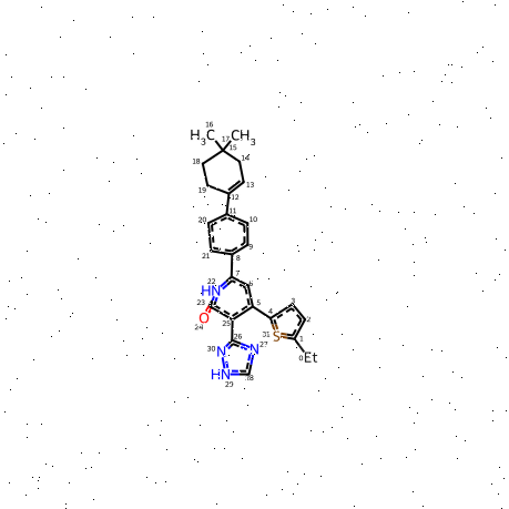 CCc1ccc(-c2cc(-c3ccc(C4=CCC(C)(C)CC4)cc3)[nH]c(=O)c2-c2nc[nH]n2)s1